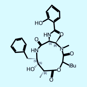 CCC(C)C1OC(=O)[C@H](C)[C@H](O)[C@H](Cc2ccccc2)NC(=O)[C@@H](NC(=O)c2ccccc2O)[C@@H](C)N(C)C1=O